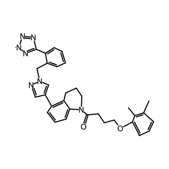 Cc1cccc(OCCCC(=O)N2CCCc3c(-c4cnn(Cc5ccccc5C5=N[N]N=N5)c4)cccc32)c1C